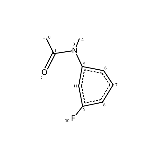 [CH2]C(=O)N(C)c1cccc(F)c1